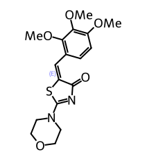 COc1ccc(/C=C2/SC(N3CCOCC3)=NC2=O)c(OC)c1OC